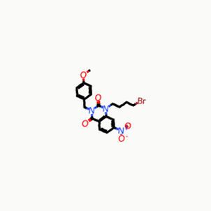 COc1ccc(Cn2c(=O)c3ccc([N+](=O)[O-])cc3n(CCCCBr)c2=O)cc1